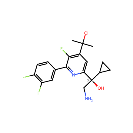 CC(C)(O)c1cc([C@@](O)(CN)C2CC2)nc(-c2ccc(F)c(F)c2)c1F